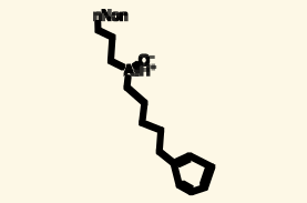 CCCCCCCCCCCC[AsH+]([O-])CCCCCc1ccccc1